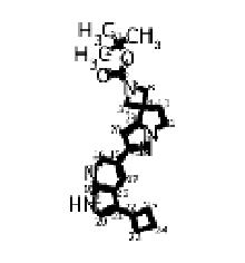 CC(C)(C)OC(=O)N1CC2(CCn3nc(-c4cnc5[nH]cc(C6CCC6)c5c4)cc32)C1